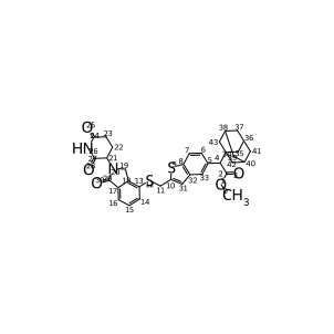 COC(=O)C(c1ccc2sc(CSc3cccc4c3CN(C3CCC(=O)NC3=O)C4=O)cc2c1)C12CC3CC(CC(C3)C1)C2